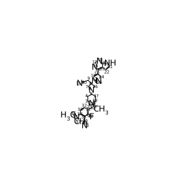 CC1CC2CC(N3CC(CC#N)(n4cc(-c5ncnc6[nH]ccc56)cn4)C3)CC1N2Cc1ccc(N(C)C)c(C#N)c1F